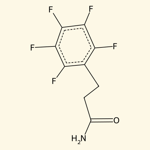 NC(=O)CCc1c(F)c(F)c(F)c(F)c1F